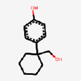 OCC1(c2ccc(O)cc2)CCCCC1